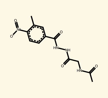 CC(=O)NCC(=O)NNC(=O)c1ccc([N+](=O)[O-])c(C)c1